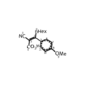 CCCCCCC(=C(C#N)C(=O)O)c1ccc(OC)cc1